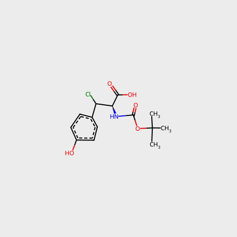 CC(C)(C)OC(=O)N[C@H](C(=O)O)C(Cl)c1ccc(O)cc1